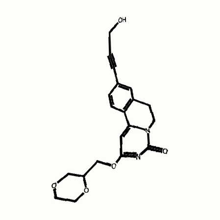 O=c1nc(OCC2COCCO2)cc2n1CCc1cc(C#CCO)ccc1-2